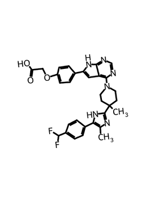 Cc1nc(C2(C)CCN(c3ncnc4[nH]c(-c5ccc(OCC(=O)O)cc5)cc34)CC2)[nH]c1-c1ccc(C(F)F)cc1